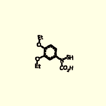 CCOc1ccc(N(S)C(=O)O)cc1OCC